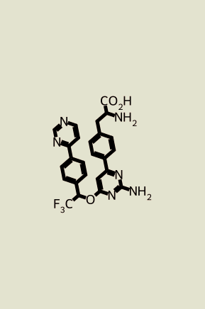 Nc1nc(OC(c2ccc(-c3ccncn3)cc2)C(F)(F)F)cc(-c2ccc(CC(N)C(=O)O)cc2)n1